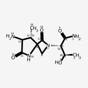 C[C@@H](O)[C@@H](C(N)=O)N1CC2(NC(=O)C(N)[C@@H]2C)C1=O